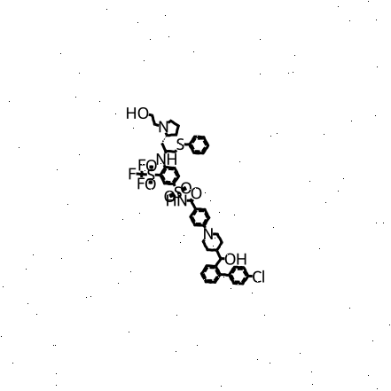 O=C(NS(=O)(=O)c1ccc(NC(CSc2ccccc2)C[C@H]2CCCN2CCO)c(S(=O)(=O)C(F)(F)F)c1)c1ccc(N2CCC(C(O)c3ccccc3-c3ccc(Cl)cc3)CC2)cc1